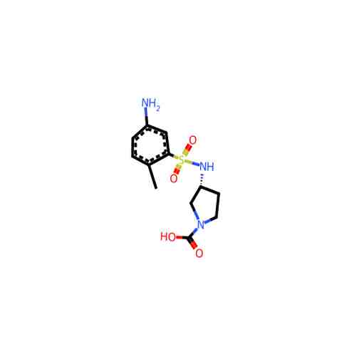 Cc1ccc(N)cc1S(=O)(=O)N[C@@H]1CCN(C(=O)O)C1